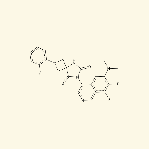 CN(C)c1cc2c(N3C(=O)NC4(CC(c5ccccc5Cl)C4)C3=O)cncc2c(F)c1F